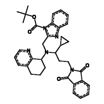 CC(C)(C)OC(=O)n1c(CN(C2CCCc3cccnc32)C(CCN2C(=O)c3ccccc3C2=O)C2CC2)nc2ccccc21